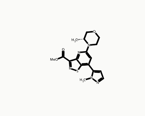 COC(=O)c1nsc2c(-c3ccnn3C)cc(N3CCOC[C@H]3C)nc12